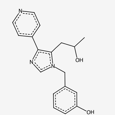 CC(O)Cc1c(-c2ccncc2)ncn1Cc1cccc(O)c1